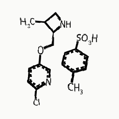 CC1CN[C@H]1COc1ccc(Cl)nc1.Cc1ccc(S(=O)(=O)O)cc1